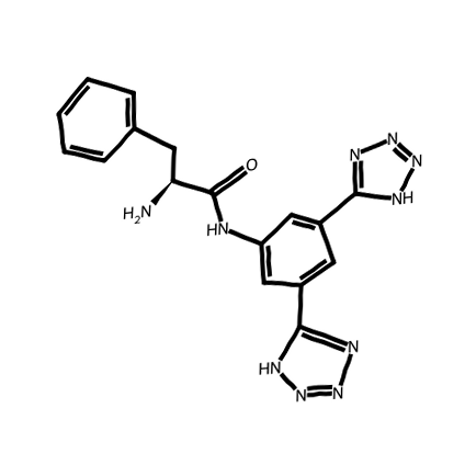 N[C@@H](Cc1ccccc1)C(=O)Nc1cc(-c2nnn[nH]2)cc(-c2nnn[nH]2)c1